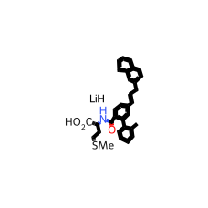 CSCCC(NC(=O)c1ccc(/C=C/Cc2ccc3ccccc3c2)cc1-c1ccccc1C)C(=O)O.[LiH]